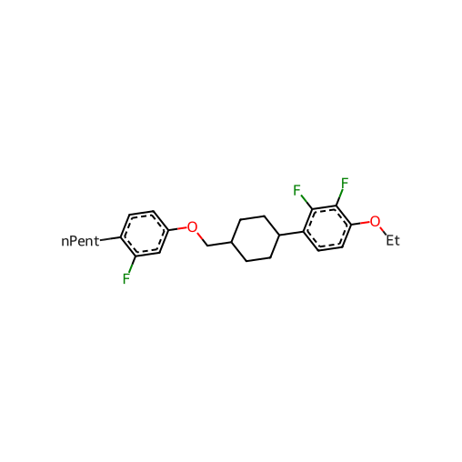 CCCCCc1ccc(OCC2CCC(c3ccc(OCC)c(F)c3F)CC2)cc1F